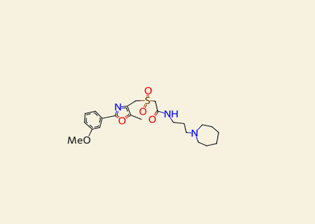 COc1cccc(-c2nc(CS(=O)(=O)CC(=O)NCCCN3CCCCCC3)c(C)o2)c1